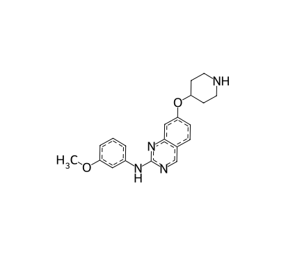 COc1cccc(Nc2ncc3ccc(OC4CCNCC4)cc3n2)c1